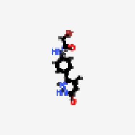 Cc1cc(=O)[nH]nc1-c1ccc(NC(=O)CBr)cc1